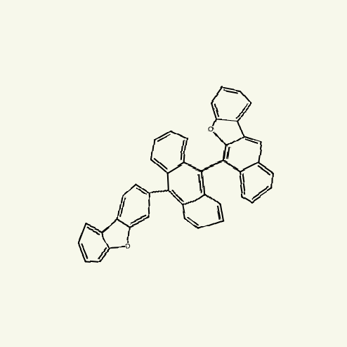 c1ccc2c(-c3c4ccccc4c(-c4ccc5c(c4)oc4ccccc45)c4ccccc34)c3oc4ccccc4c3cc2c1